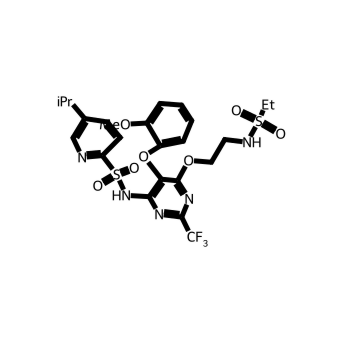 CCS(=O)(=O)NCCOc1nc(C(F)(F)F)nc(NS(=O)(=O)c2ccc(C(C)C)cn2)c1Oc1ccccc1OC